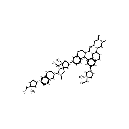 C=CCCOC[C@@H]1CCc2cc([C@H]3CC(COC)(OC[C@@H]4CCc5cc([C@H]6CC[C@](N)(CO)C6)ccc5C4)[C@](N)(CO)C3)ccc2C1c1cc([C@H]2CC[C@](N)(CO)C2)cc2c1CC(CCOC)CC2